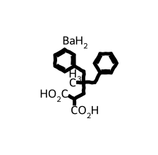 CC(Cc1ccccc1)(Cc1ccccc1)CC(C(=O)O)C(=O)O.[BaH2]